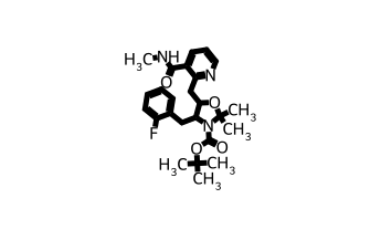 CNC(=O)c1cccnc1CC1OC(C)(C)N(C(=O)OC(C)(C)C)C1Cc1ccccc1F